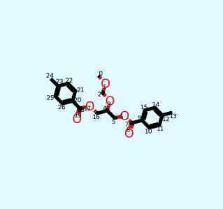 COCOC(COC(=O)c1ccc(C)cc1)COC(=O)c1ccc(C)cc1